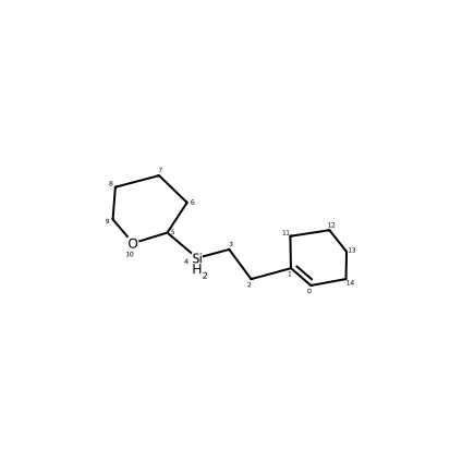 C1=C(CC[SiH2]C2CCCCO2)CCCC1